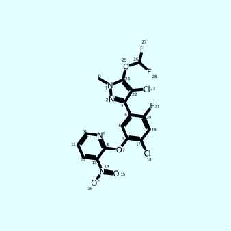 Cn1nc(-c2cc(Oc3ncccc3[N+](=O)[O-])c(Cl)cc2F)c(Cl)c1OC(F)F